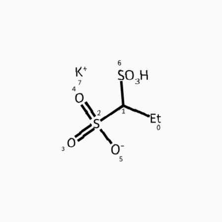 [CH2]CC(S(=O)(=O)[O-])S(=O)(=O)O.[K+]